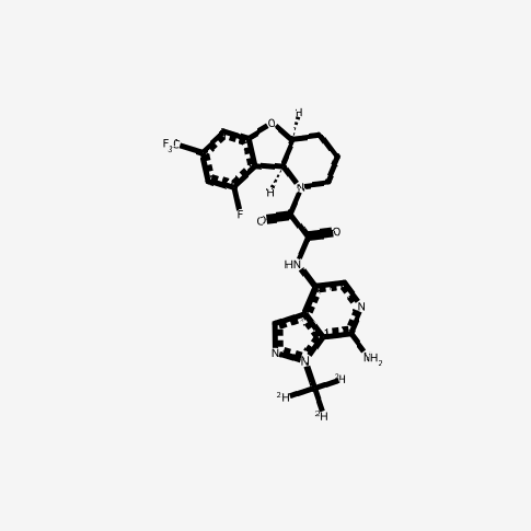 [2H]C([2H])([2H])n1ncc2c(NC(=O)C(=O)N3CCC[C@@H]4Oc5cc(C(F)(F)F)cc(F)c5[C@@H]43)cnc(N)c21